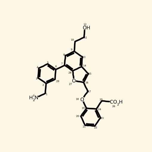 NCc1cccc(-c2cc(CCO)cc3cc(COc4ccccc4CC(=O)O)oc23)c1